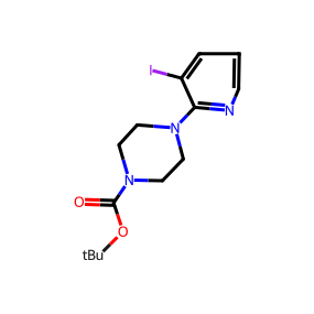 CC(C)(C)OC(=O)N1CCN(c2ncccc2I)CC1